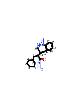 NC(=O)C(CC1CCCCC1)C1=Cc2ccccc2NN=C1